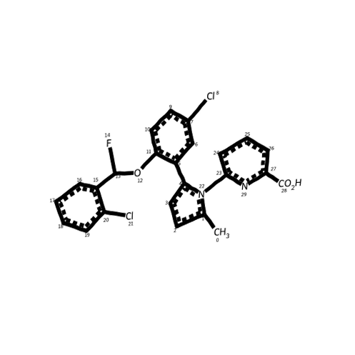 Cc1ccc(-c2cc(Cl)ccc2OC(F)c2ccccc2Cl)n1-c1cccc(C(=O)O)n1